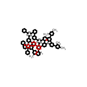 Cc1cc(C)cc(-c2ccc3c(c2)c2ccccc2n3-c2ccc(-c3nc(-c4ccccc4)nc(-c4ccccc4-c4cccc(-c5nc(-c6ccccc6)nc(-c6cccnc6-c6cc(-c7nc(-c8ccccc8)nc(-c8ccccc8)n7)ccc6-n6c7ccc(-c8ccc(C)cc8C)cc7c7cc(-c8ccc(C)cc8C)ccc76)n5)c4)n3)cc2-c2ncccc2-c2nc(-c3ccccc3)nc(-c3ccccc3)n2)c1